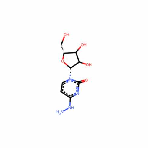 NNc1ccn([C@@H]2O[C@H](CO)C(O)C2O)c(=O)n1